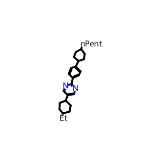 CCCCCC1CCC(c2ccc(-c3ncc(C4CCC(CC)CC4)cn3)cc2)CC1